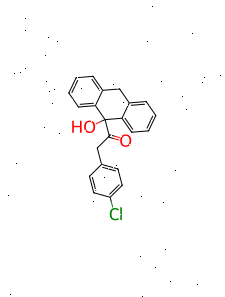 O=C(Cc1ccc(Cl)cc1)C1(O)c2ccccc2Cc2ccccc21